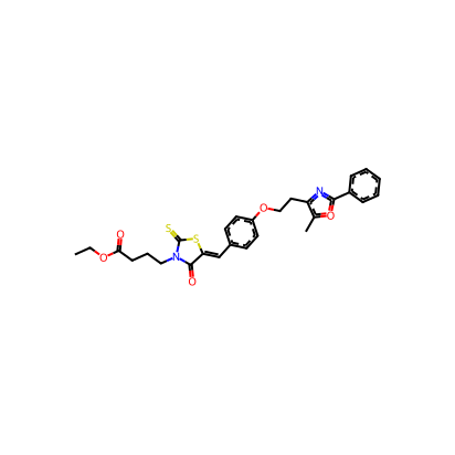 CCOC(=O)CCCN1C(=O)C(=Cc2ccc(OCCc3nc(-c4ccccc4)oc3C)cc2)SC1=S